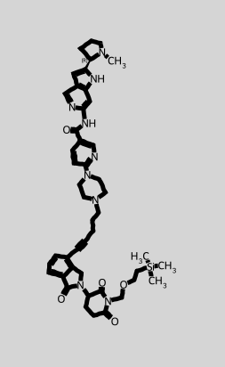 CN1CCC[C@@H]1c1cc2cnc(NC(=O)c3ccc(N4CCN(CCCC#Cc5cccc6c5CN(C5CCC(=O)N(COCC[Si](C)(C)C)C5=O)C6=O)CC4)nc3)cc2[nH]1